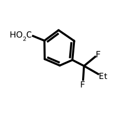 CCC(F)(F)c1ccc(C(=O)O)cc1